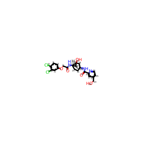 O=C(COc1ccc(Cl)c(Cl)c1)NC12CCC(NC(=O)c3cc(CO)ccn3)(CC1)C[C@@H]2O